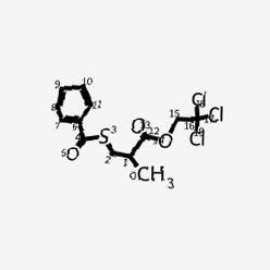 CC(CSC(=O)c1ccccc1)C(=O)OCC(Cl)(Cl)Cl